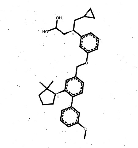 COc1cccc(-c2ccc(COc3cccc([C@@H](CC(O)O)CC4CC4)c3)cc2[C@H]2CCCC2(C)C)c1